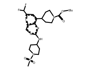 CC(C)(C)OC(=O)N1CCC(c2cc(C(F)F)cc3cnc(NC4CCN(S(C)(=O)=O)CC4)nc23)CC1